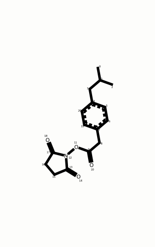 CC(C)Cc1ccc(CC(=O)ON2C(=O)CCC2=O)cc1